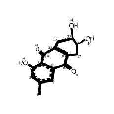 Cc1cc(O)c2c(c1)C(=O)C1=C(C[C@@H](O)[C@@H](O)C1)C2=O